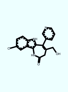 O=C1CC(CO)=C(c2cccnc2)c2[nH]c3ccc(Cl)cc3c2N1